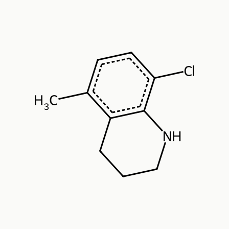 Cc1ccc(Cl)c2c1CCCN2